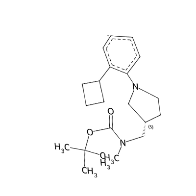 CN(C[C@H]1CCN(c2cc[c]cc2C2CCC2)C1)C(=O)OC(C)(C)C